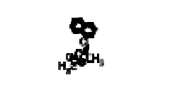 CC(COc1cccc2ccccc12)OS(C)(=O)=O